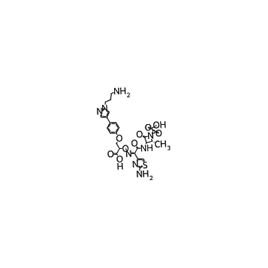 C[C@@H]1[C@H](NC(=O)/C(=N\OC(COc2ccc(-c3cnn(CCCN)c3)cc2)C(=O)O)c2csc(N)n2)C(=O)N1S(=O)(=O)O